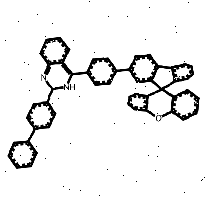 c1ccc(-c2ccc(C3N=c4ccccc4=C(c4ccc(-c5ccc6c(c5)C5(c7ccccc7Oc7ccccc75)c5ccccc5-6)cc4)N3)cc2)cc1